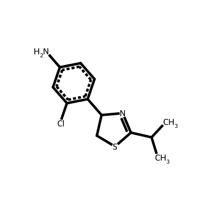 CC(C)C1=NC(c2ccc(N)cc2Cl)CS1